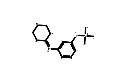 C[Si](C)(C)Sc1cccc(N=C2CCCCC2)c1